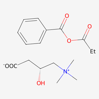 CCC(=O)OC(=O)c1ccccc1.C[N+](C)(C)C[C@H](O)CC(=O)[O-]